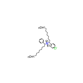 CCCCCCCCCCCCCCCCCC(c1ccccc1)[N+](CC)(CC)C(CCCCCCCCCCCCCCCCC)c1ccccc1.[Cl-]